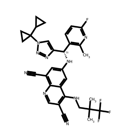 Cc1nc(F)ccc1[C@H](Nc1cc(C#N)c2ncc(C#N)c(NCC(C)(C)C(F)(F)F)c2c1)c1cn(C2(C3CC3)CC2)nn1